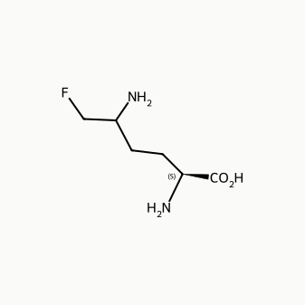 NC(CF)CC[C@H](N)C(=O)O